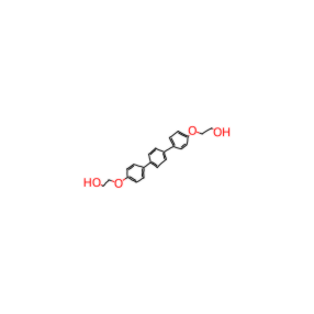 OCCOc1ccc(-c2ccc(-c3ccc(OCCO)cc3)cc2)cc1